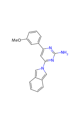 COc1cccc(-c2cc(-n3cc4ccccc4c3)nc(N)n2)c1